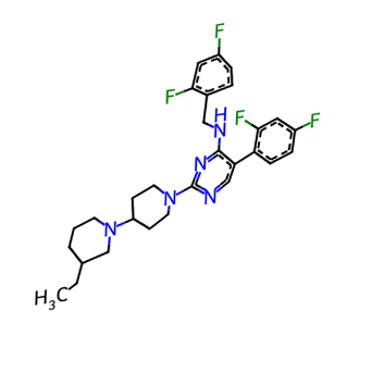 CCC1CCCN(C2CCN(c3ncc(-c4ccc(F)cc4F)c(NCc4ccc(F)cc4F)n3)CC2)C1